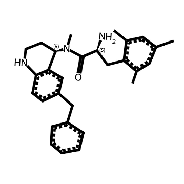 Cc1cc(C)c(C[C@H](N)C(=O)N(C)[C@@H]2CCNc3ccc(Cc4ccccc4)cc32)c(C)c1